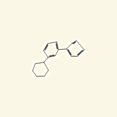 c1ccc(-c2cccc([C]3CCCCC3)c2)cc1